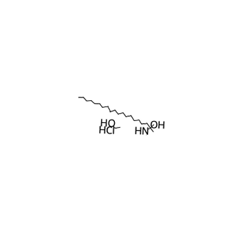 CCCCCCCCCCCCCCCCCCC(C)(O)NC.CCO.Cl